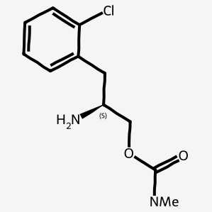 CNC(=O)OC[C@@H](N)Cc1ccccc1Cl